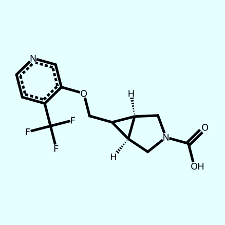 O=C(O)N1C[C@@H]2C(COc3cnccc3C(F)(F)F)[C@@H]2C1